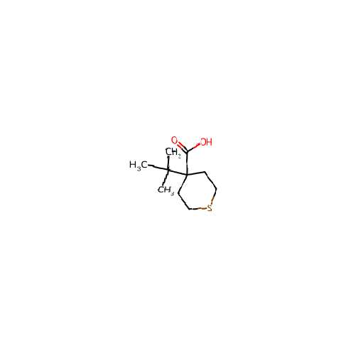 CC(C)(C)C1(C(=O)O)CCSCC1